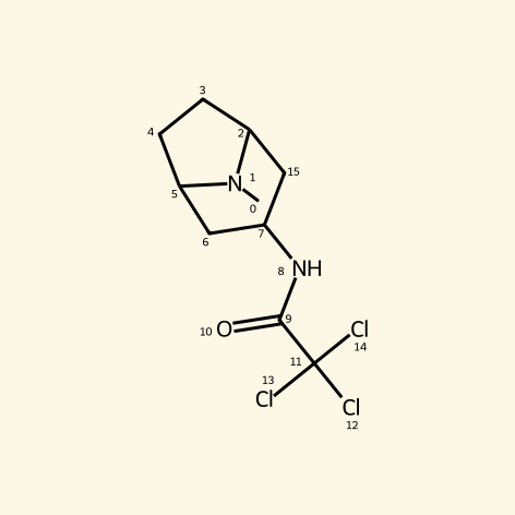 CN1C2CCC1CC(NC(=O)C(Cl)(Cl)Cl)C2